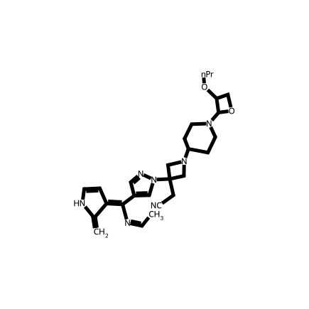 C=c1[nH]cc/c1=C(/N=C\C)c1cnn(C2(CC#N)CN(C3CCN(C4OCC4OCCC)CC3)C2)c1